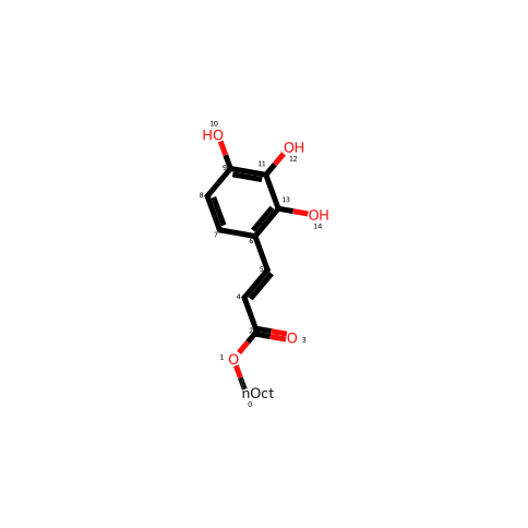 CCCCCCCCOC(=O)/C=C/c1ccc(O)c(O)c1O